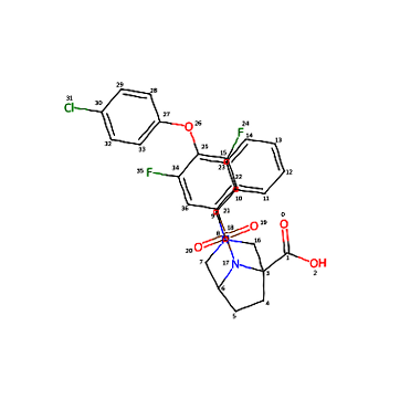 O=C(O)C12CCC(CN(Cc3ccccc3)C1)N2S(=O)(=O)c1cc(F)c(Oc2ccc(Cl)cc2)c(F)c1